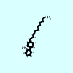 CCCCCCCCCCCCc1ccc2c(c1)[nH]c1ccccc12